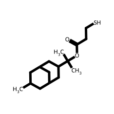 CC1CC2CC(C1)CC(C(C)(C)OC(=O)CCS)C2